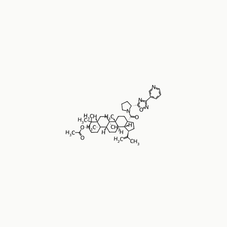 C=C(C)[C@@H]1CC[C@]2(C(=O)N3CCC[C@@H]3c3nc(-c4cccnc4)no3)CC[C@]3(C)[C@H](CC[C@@H]4[C@@]5(C)CC[C@H](OC(C)=O)C(C)(C)[C@@H]5CC[C@]43C)[C@@H]12